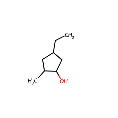 CCC1CC(C)C(O)C1